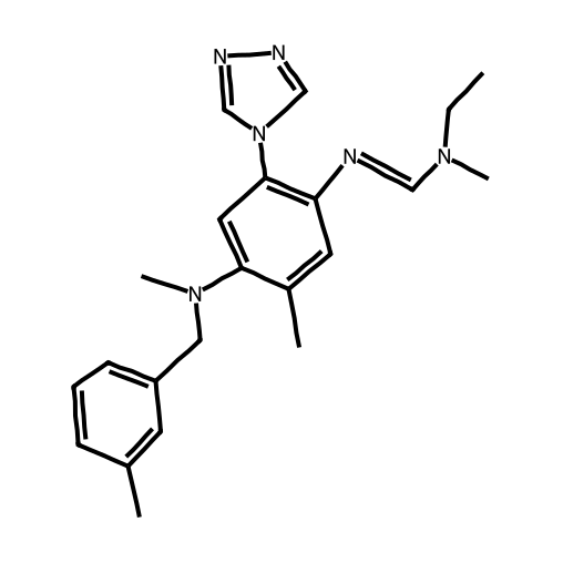 CCN(C)C=Nc1cc(C)c(N(C)Cc2cccc(C)c2)cc1-n1cnnc1